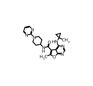 Cc1oc2ncnc(NC3(C)CC3)c2c1C(=O)NC1CCN(c2ncccn2)CC1